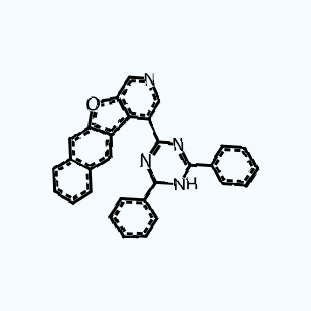 c1ccc(C2=NC(c3cncc4oc5cc6ccccc6cc5c34)=NC(c3ccccc3)N2)cc1